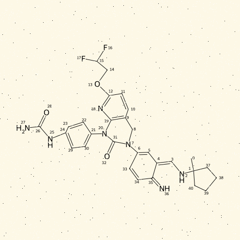 CC1(N/C=C2/C=C(N3Cc4ccc(OCC(F)F)nc4N(c4ccc(NC(N)=O)cc4)C3=O)C=CC2=N)CCCC1